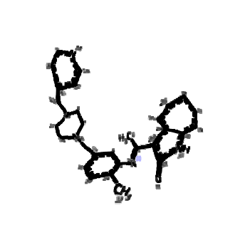 C/C(=N\c1cc(N2CCN(Cc3ccncc3)CC2)ccc1C)c1c2cccccc-2[nH]c1=O